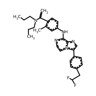 C=C(c1ccc(Nc2nccn3c(-c4ccc(CC(F)F)cc4)cnc23)cc1C)N(CCC)CCC